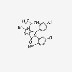 CC(C)n1c(Br)nc2c1C(c1ccc(Cl)cc1)N(c1cc(Cl)ccc1C#N)C2=O